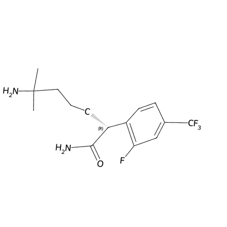 CC(C)(N)CCC[C@@H](C(N)=O)c1ccc(C(F)(F)F)cc1F